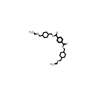 C=COCC1CCC(COC(=O)c2ccc(C(=O)OCC3CCC(COC=C)CC3)cc2)CC1